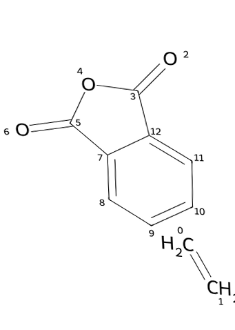 C=C.O=C1OC(=O)c2ccccc21